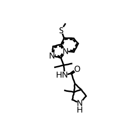 CSc1cccn2c(C(C)(C)NC(=O)C3C4CNCC43C)ncc12